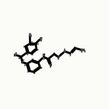 CC=NOOCC(=O)Nc1cccc(OC(CC)c2ccc(Cl)c(Cl)c2)c1